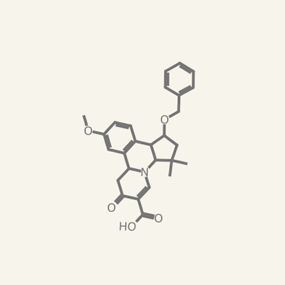 COc1ccc2c(c1)C1CC(=O)C(C(=O)O)=CN1C1C2C(OCc2ccccc2)CC1(C)C